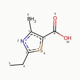 Bc1nc(CC)sc1C(=O)O